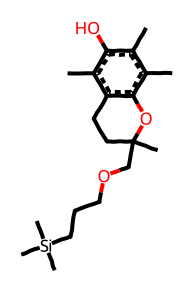 Cc1c(C)c2c(c(C)c1O)CCC(C)(COCCC[Si](C)(C)C)O2